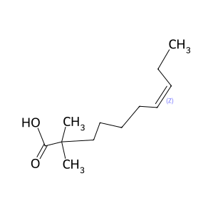 CC/C=C\CCCCC(C)(C)C(=O)O